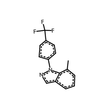 Cc1cccc2cnn(-c3ccc(C(F)(F)F)cc3)c12